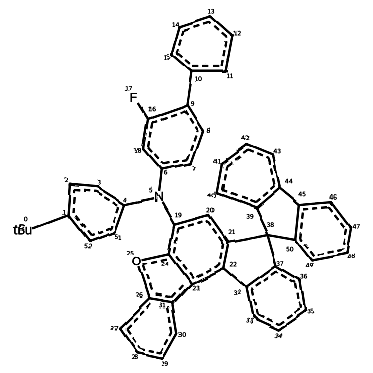 CC(C)(C)c1ccc(N(c2ccc(-c3ccccc3)c(F)c2)c2cc3c(c4c2oc2ccccc24)-c2ccccc2C32c3ccccc3-c3ccccc32)cc1